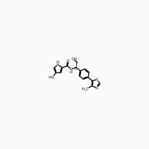 Cc1ncsc1-c1ccc([C@H](CO)NC(=O)c2cc(O)c[nH]2)cc1